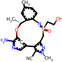 Cc1ccc2c(c1)[C@@H](C)Oc1cc(cnc1N)-c1c(nn(C)c1C#N)CS(=O)(CCO)=N2